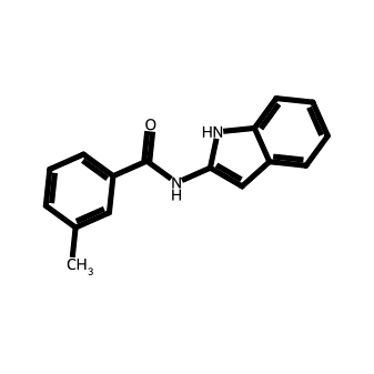 Cc1cccc(C(=O)Nc2cc3ccccc3[nH]2)c1